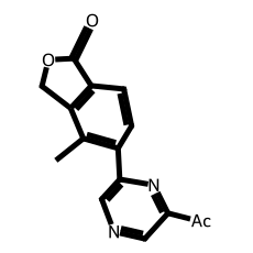 CC(=O)c1cncc(-c2ccc3c(c2C)COC3=O)n1